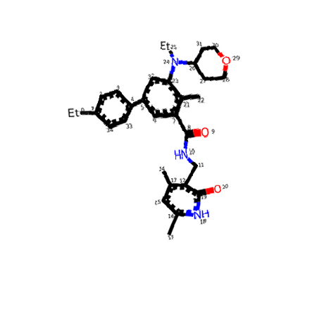 CCc1ccc(-c2cc(C(=O)NCc3c(C)cc(C)[nH]c3=O)c(C)c(N(CC)C3CCOCC3)c2)cc1